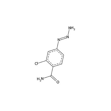 NN=Nc1ccc(C(N)=O)c(Cl)c1